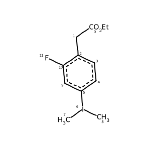 CCOC(=O)Cc1ccc(I(C)C)cc1F